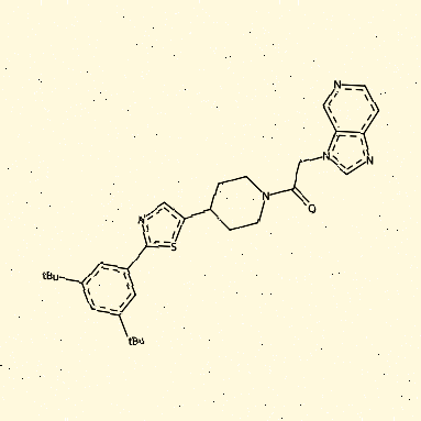 CC(C)(C)c1cc(-c2ncc(C3CCN(C(=O)Cn4cnc5ccncc54)CC3)s2)cc(C(C)(C)C)c1